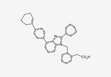 O=C(O)Cc1ccccc1Cn1c(-c2ccccc2)nc2c(-c3ccc(C4=CCCCC4)cc3)cccc21